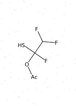 CC(=O)OC(F)(S)C(F)F